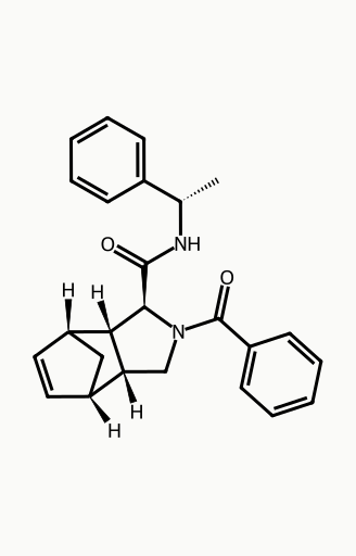 C[C@H](NC(=O)[C@@H]1[C@@H]2[C@H](CN1C(=O)c1ccccc1)[C@@H]1C=C[C@H]2C1)c1ccccc1